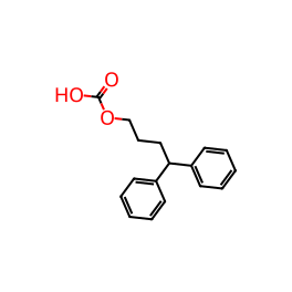 O=C(O)OCCCC(c1ccccc1)c1ccccc1